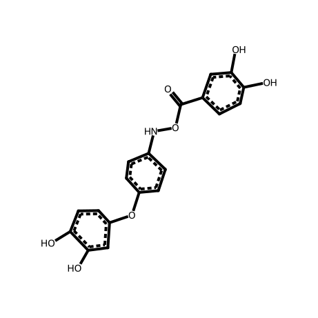 O=C(ONc1ccc(Oc2ccc(O)c(O)c2)cc1)c1ccc(O)c(O)c1